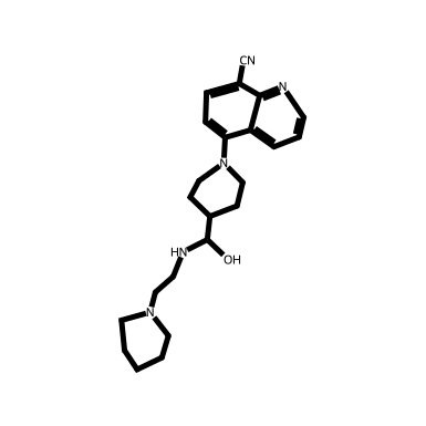 N#Cc1ccc(N2CCC(C(O)NCCN3CCCCC3)CC2)c2cccnc12